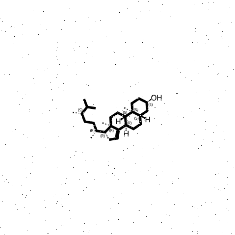 CC(C)[C@@H](C)CC[C@@H](C)[C@H]1CC=C2[C@@H]3CC[C@H]4C[C@@H](O)CC[C@]4(C)[C@H]3CC[C@@]21C